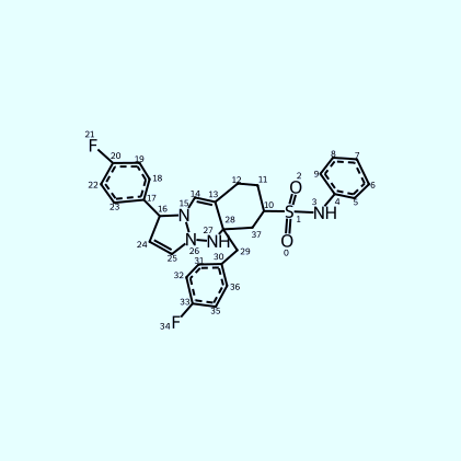 O=S(=O)(Nc1ccccc1)C1CCC2=CN3C(c4ccc(F)cc4)C=CN3NC2(Cc2ccc(F)cc2)C1